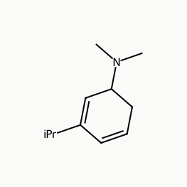 CC(C)C1=CC(N(C)C)CC=C1